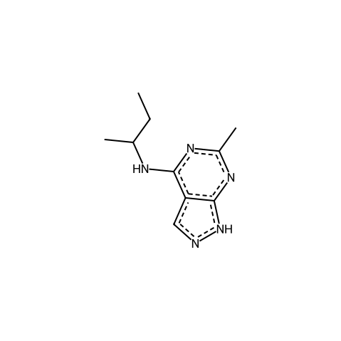 CCC(C)Nc1nc(C)nc2[nH]ncc12